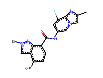 CCn1cc2c(C=O)ccc(C(=O)Nc3cc(F)c4nc(C)cn4c3)c2n1